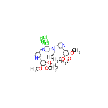 C#CCN(Cc1ccnc(-c2cc(OC)c(OC)c(OC)c2)c1)C1CCN(Cc2ccnc(-c3cc(OC)c(OC)c(OC)c3)c2)CC1.Cl.Cl.Cl.Cl